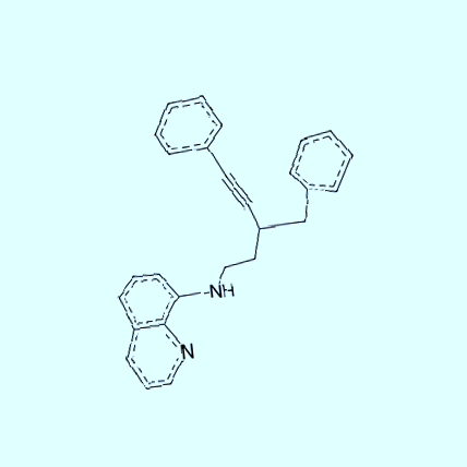 C(#CC(CCNc1cccc2cccnc12)Cc1ccccc1)c1ccccc1